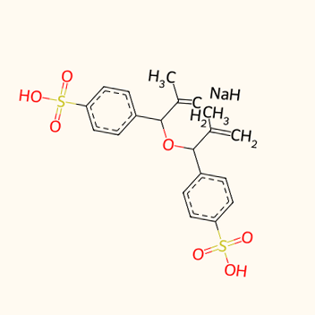 C=C(C)C(OC(C(=C)C)c1ccc(S(=O)(=O)O)cc1)c1ccc(S(=O)(=O)O)cc1.[NaH]